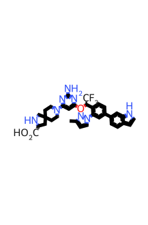 Cc1ccn(-c2cc(-c3ccc4cc[nH]c4c3)ccc2[C@@H](Oc2cc(N3CCC4(CC3)CNC(C(=O)O)C4)nc(N)n2)C(F)(F)F)n1